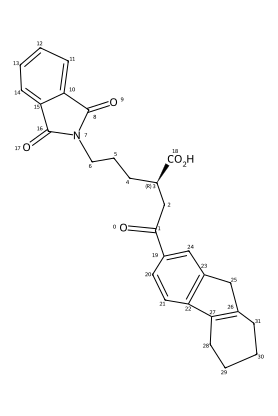 O=C(C[C@@H](CCCN1C(=O)c2ccccc2C1=O)C(=O)O)c1ccc2c(c1)CC1=C2CCCC1